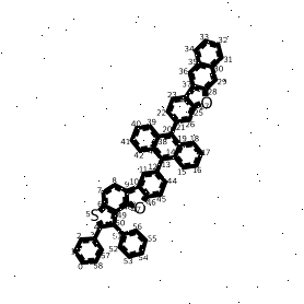 c1ccc(-c2sc3ccc4c5cc(-c6c7ccccc7c(-c7ccc8c(c7)oc7cc9ccccc9cc78)c7ccccc67)ccc5oc4c3c2-c2ccccc2)cc1